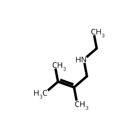 CCNCC(C)=C(C)C